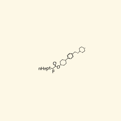 CCCCCCC[C@H](F)C(=O)OC1CCC(c2ccc(CCC3CC[CH]CC3)cc2)CC1